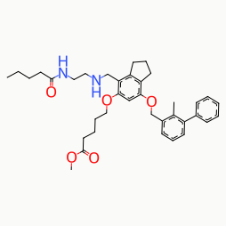 CCCCC(=O)NCCNCc1c(OCCCCC(=O)OC)cc(OCc2cccc(-c3ccccc3)c2C)c2c1CCC2